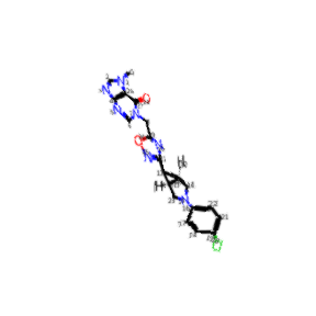 Cn1cnc2ncn(Cc3nc(C4[C@H]5CN(c6ccc(Cl)cc6)C[C@@H]45)no3)c(=O)c21